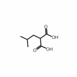 [CH2]C(C)CC(C(=O)O)C(=O)O